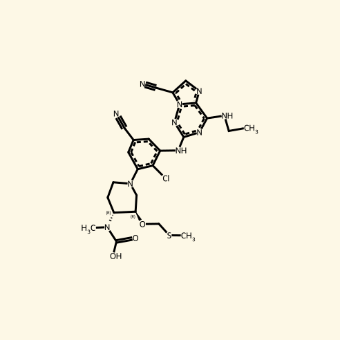 CCNc1nc(Nc2cc(C#N)cc(N3CC[C@@H](N(C)C(=O)O)[C@H](OCSC)C3)c2Cl)nn2c(C#N)cnc12